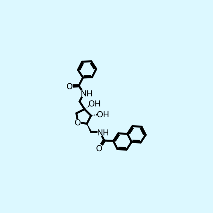 O=C(NC[C@H]1OC[C@@](O)(CNC(=O)c2ccccc2)[C@@H]1O)c1ccc2ccccc2c1